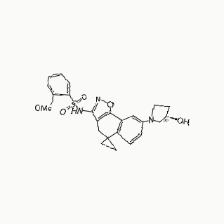 COc1ccccc1S(=O)(=O)Nc1noc2c1CC1(CC1)c1ccc(N3CC[C@@H](O)C3)cc1-2